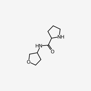 O=C(NC1CCOC1)C1CCCN1